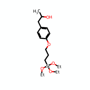 CCO[Si](CCCOc1ccc(C[C](C)O)cc1)(OCC)OCC